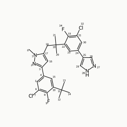 Cn1nc(-c2cc(Cl)c(F)c(C(C)(C)C)c2)cc1CC(C)(C)c1cc(-c2cn[nH]c2)cc(Cl)c1F